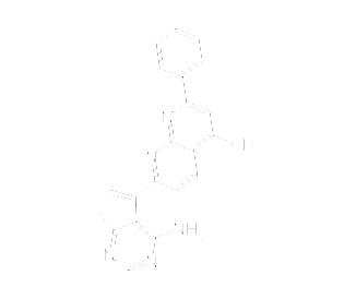 Cc1cc(-c2ccccc2)nc2nc(-c3csc4ncnc(N)c34)ccc12